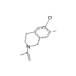 C=C(C)N1CCc2cc(Cl)c(C)cc2C1